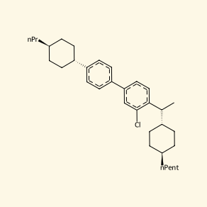 CCCCC[C@H]1CC[C@H](C(C)c2ccc(-c3ccc([C@H]4CC[C@H](CCC)CC4)cc3)cc2Cl)CC1